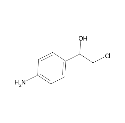 Nc1ccc(C(O)CCl)cc1